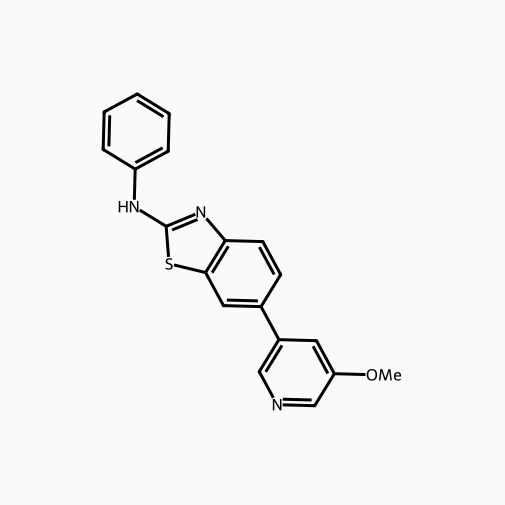 COc1cncc(-c2ccc3nc(Nc4ccccc4)sc3c2)c1